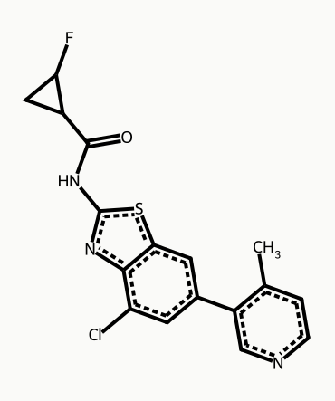 Cc1ccncc1-c1cc(Cl)c2nc(NC(=O)C3CC3F)sc2c1